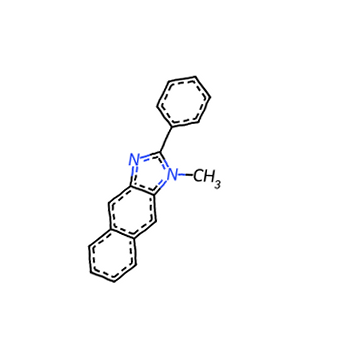 Cn1c(-c2ccccc2)nc2cc3ccccc3cc21